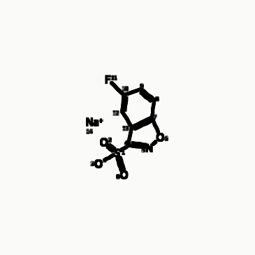 O=S(=O)([O-])c1noc2ccc(F)cc12.[Na+]